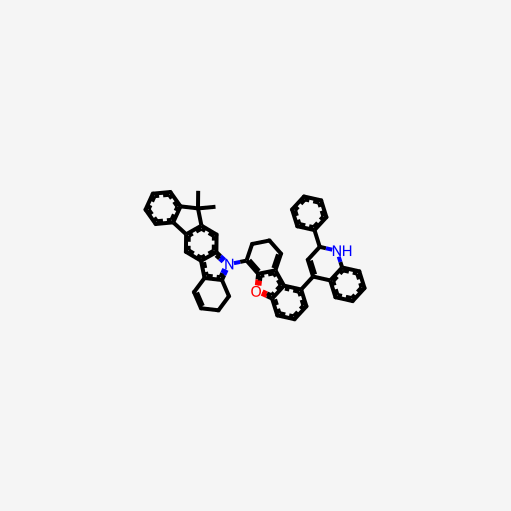 CC1(C)c2ccccc2-c2cc3c4c(n(C5=c6oc7cccc(C8=CC(c9ccccc9)Nc9ccccc98)c7c6=CCC5)c3cc21)CCC=C4